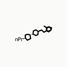 CCC[C@H]1CC[C@H](C2CCC(CCc3ccccc3C)CC2)CC1